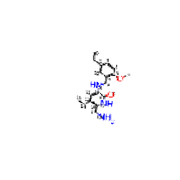 CCc1ccc(OC)c(CNc2cc(CC)c(CN)[nH]c2=O)c1